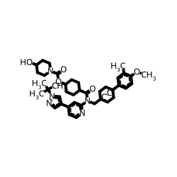 COc1ccc(C23CCC(CN(C(=O)C4CCC(OC(=O)N5CCC(O)CC5)CC4)c4cc(-c5cnn(C(C)(C)C)c5)ccn4)(CC2)CC3)cc1C